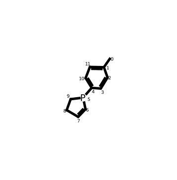 Cc1ccc(P2C=CCC2)cc1